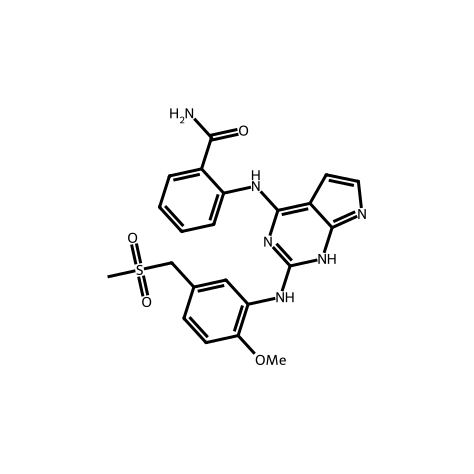 COc1ccc(CS(C)(=O)=O)cc1Nc1nc(Nc2ccccc2C(N)=O)c2ccnc-2[nH]1